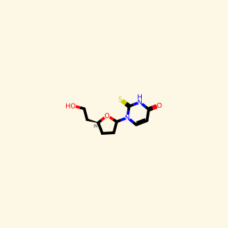 O=c1ccn(C2CC[C@@H](CCO)O2)c(=S)[nH]1